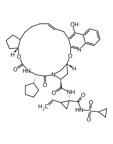 C=CC1C[C@]1(NC(=O)[C@@H]1C[C@@H]2CN1C(=O)[C@H](C1CCCC1)NC(=O)O[C@@H]1CCCC1CCC/C=C/Cc1c(nc3ccccc3c1O)O2)C(=O)NS(=O)(=O)C1CC1